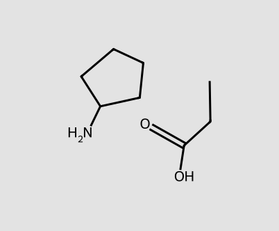 CCC(=O)O.NC1CCCC1